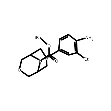 CCc1cc(N2CC3COCC(C2)N3C(=O)OC(C)(C)C)ccc1N